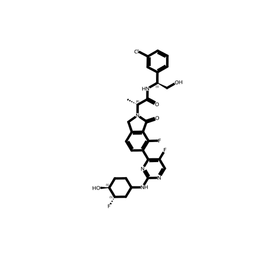 C[C@H](C(=O)N[C@H](CO)c1cccc(Cl)c1)N1Cc2ccc(-c3nc(NC4CC[C@H](O)[C@@H](F)C4)ncc3F)c(F)c2C1=O